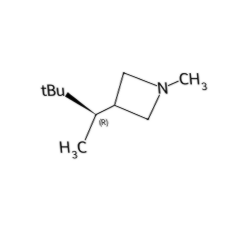 C[C@H](C1CN(C)C1)C(C)(C)C